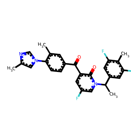 Cc1cn(-c2ccc(C(=O)c3cc(F)cn(C(C)c4cc(F)c(C)c(F)c4)c3=O)cc2C)cn1